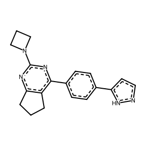 c1cc(-c2ccc(-c3nc(N4CCC4)nc4c3CCC4)cc2)[nH]n1